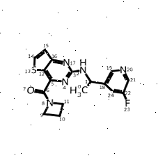 CC(Nc1nc(C(=O)N2CCC2)c2sccc2n1)c1cncc(F)c1